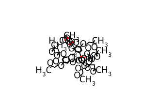 CC(=O)CC(=O)Oc1cc(OC(=O)CC(C)=O)c2c(c1)O[C@@H](c1cc(OC(=O)CC(C)=O)c(OC(=O)CC(C)=O)c(OC(=O)CC(C)=O)c1)[C@@H](c1c(C(=O)O)cc(OC(=O)CC(C)=O)c(OC(=O)CC(C)=O)c1OC(=O)CC(C)=O)C2